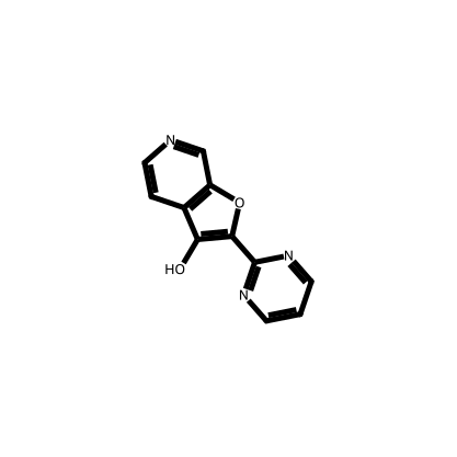 Oc1c(-c2ncccn2)oc2cnccc12